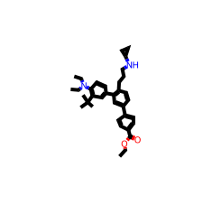 CCOC(=O)c1ccc(-c2ccc(CCCNC3CC3)c(-c3ccc(N(CC)CC)c(C(C)(C)C)c3)c2)cc1